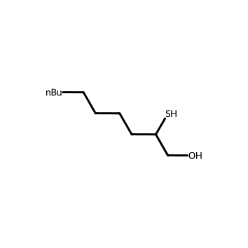 CCCCCCCCC(S)CO